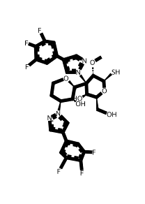 CO[C@@H]1[C@@H](S)O[C@@H](CO)[C@@H](O)[C@@]1([C@@H]1OCC[C@H](n2cc(-c3cc(F)c(F)c(F)c3)cn2)[C@H]1O)n1cc(-c2cc(F)c(F)c(F)c2)cn1